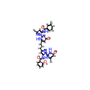 COc1ccccc1C(=O)Nc1cc(CCCc2cc(=O)nc(-n3nc(C)cc3NC(=O)c3cccc(F)c3)[nH]2)nn1-c1nc(C)cc(=O)[nH]1